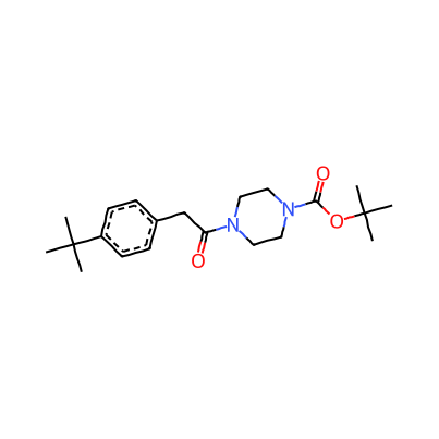 CC(C)(C)OC(=O)N1CCN(C(=O)Cc2ccc(C(C)(C)C)cc2)CC1